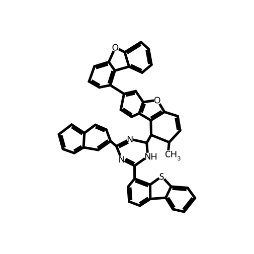 CC1C=Cc2oc3cc(-c4cccc5oc6ccccc6c45)ccc3c2C1C1N=C(c2ccc3ccccc3c2)N=C(c2cccc3c2sc2ccccc23)N1